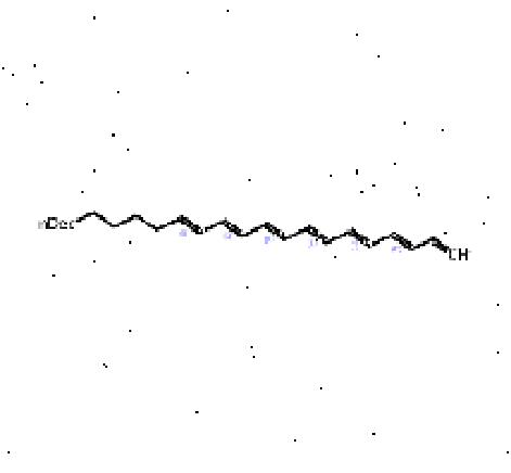 [CH]=C/C=C/C=C/C=C/C=C/C=C/C=C/CCCCCCCCCCCCCC